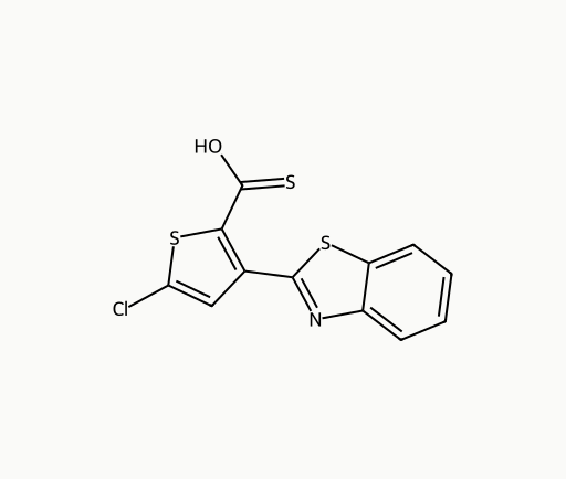 OC(=S)c1sc(Cl)cc1-c1nc2ccccc2s1